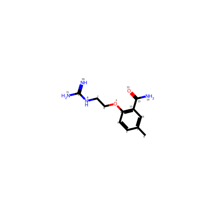 Cc1ccc(OCCNC(=N)N)c(C(N)=O)c1